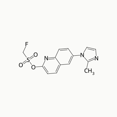 Cc1nccn1-c1ccc2nc(OS(=O)(=O)CF)ccc2c1